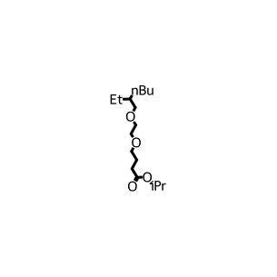 CCCCC(CC)COCCOCCCC(=O)OC(C)C